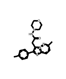 Cc1ccc(-c2nc3ccc(C)nn3c2CC(=O)NN2CCOCC2)cc1